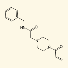 C=CC(=O)N1CCN(CC(=O)NCc2ccccc2)CC1